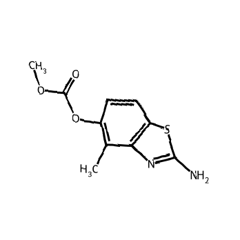 COC(=O)Oc1ccc2sc(N)nc2c1C